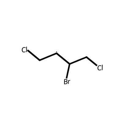 ClC[CH]C(Br)CCl